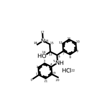 Cc1ccc(NC(c2ccccc2)C(O)CN(C)C)c(C)c1.Cl